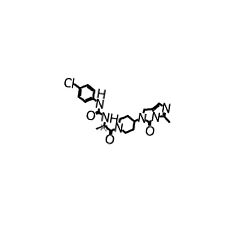 Cc1ncc2n1C(=O)N(C1CCN(C(=O)[C@@H](C)NC(=O)Nc3ccc(Cl)cc3)CC1)C2